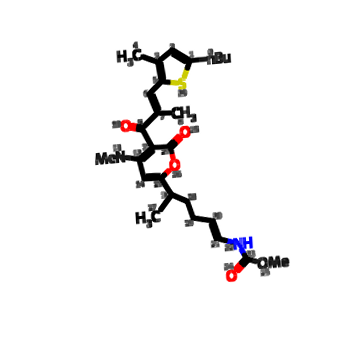 CCCCc1cc(C)c(/C=C(\C)C(=O)c2c(NC)cc(C(C)CC/C=C/NC(=O)OC)oc2=O)s1